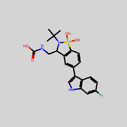 CC(C)(C)N1C(CNC(=O)O)c2cc(-c3c[nH]c4cc(F)ccc34)ccc2S1(O)O